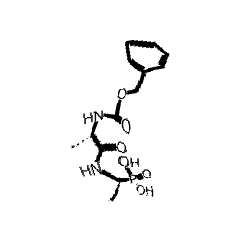 C[C@H](NC(=O)OCc1ccccc1)C(=O)N[C@H](C)P(=O)(O)O